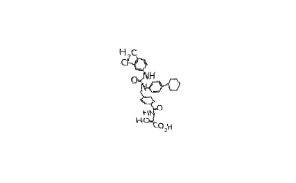 Cc1ccc(NC(=O)N(Cc2ccc(C(=O)NC[C@@H](O)C(=O)O)cc2)c2ccc(C3CCCCC3)cc2)cc1Cl